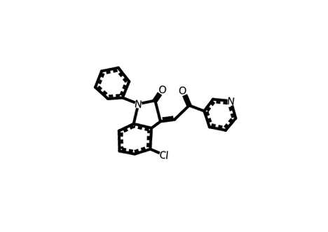 O=C(C=C1C(=O)N(c2ccccc2)c2cccc(Cl)c21)c1cccnc1